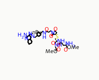 CCCCc1nc2c(N)nc3ccccc3c2n1Cc1ccc(CNC(=O)CCN2C(=O)CC(SC[C@@H](NC(=O)CC[C@@H](N)C(=O)OC)C(=O)NCC(=O)OC)C2=O)cc1